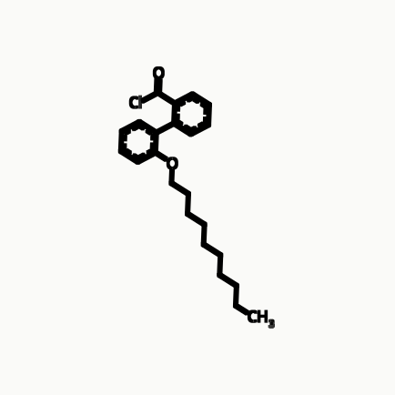 CCCCCCCCCCOc1ccccc1-c1ccccc1C(=O)Cl